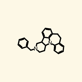 c1ccc(CN2CCC3C(C2)c2cccc4c2N3c2ccccc2CC4)cc1